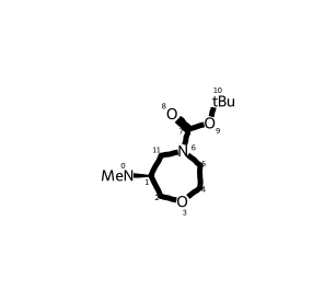 CN[C@@H]1COCCN(C(=O)OC(C)(C)C)C1